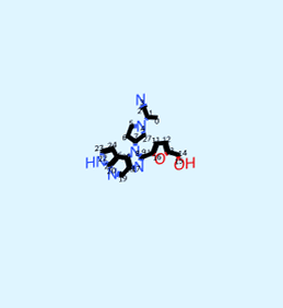 CC(C#N)N1CCC(n2c(-c3ccc(CO)o3)nc3cnc4[nH]ccc4c32)C1